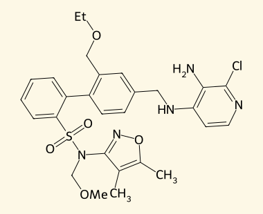 CCOCc1cc(CNc2ccnc(Cl)c2N)ccc1-c1ccccc1S(=O)(=O)N(COC)c1noc(C)c1C